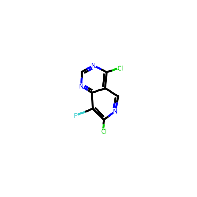 Fc1c(Cl)ncc2c(Cl)ncnc12